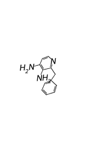 Nc1ccnc(Cc2ccccc2)c1N